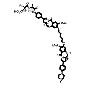 COc1cc2c(cc1OCCCCCOc1cc3c(cc1OC)C(=O)N1C=C(c4ccc(N5CCN(C)CC5)cc4)C[C@H]1CN3)N=C[C@@H]1CC(c3ccc(NC(=O)[C@H](C)NC(=O)[C@@H](NC(=O)O)C(C)C)cc3)=CN1C2=O